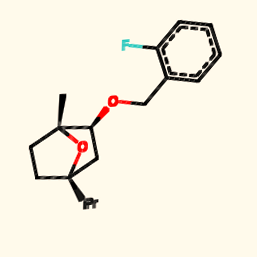 CC(C)[C@@]12CC[C@@](C)(O1)[C@@H](OCc1ccccc1F)C2